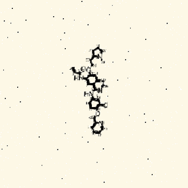 C=CC(=O)Nc1cc2c(Nc3ccc(OCc4ccccn4)c(Cl)c3)ncnc2cc1OCCC1CCCN1C